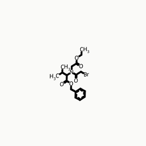 CCOC(=O)CN(C(=O)CBr)C(C(=O)OCc1ccccc1)C(C)C